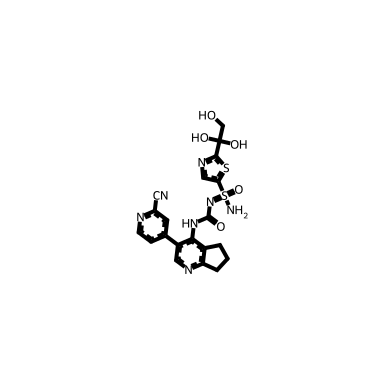 N#Cc1cc(-c2cnc3c(c2NC(=O)N=S(N)(=O)c2cnc(C(O)(O)CO)s2)CCC3)ccn1